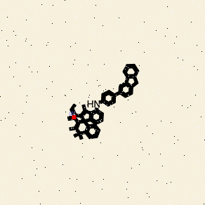 C=CC1=C(C)C(C)(C)c2ccccc2C12C(/C=C\C)=C(C)c1c(Nc3ccc(-c4ccc5c(c4)C4=C(C=C=C=C4)C5)cc3)cccc12